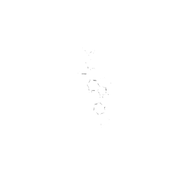 CC(F)Oc1cccc(-n2nc(C3(O)CCC3)c3cc(C(=O)NC4(C)CS(=O)(=O)C4)cnc32)c1